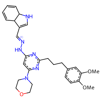 COc1ccc(CCCc2nc(N/N=C/C3=CNC4C=CC=CC34)cc(N3CCOCC3)n2)cc1OC